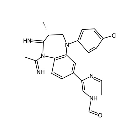 C/C=N\C(=C/NC=O)c1ccc2c(c1)N(c1ccc(Cl)cc1)C[C@@H](C)C(=N)N2C(C)=N